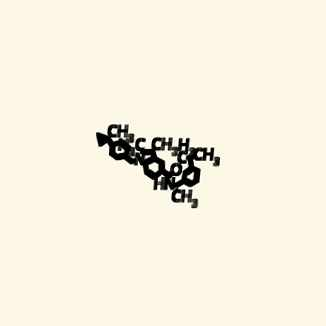 Cc1c(C)n(Cc2ccc(C3(C)CC3)cc2)c2ccc(C(=O)N[C@@H](C)c3cccc(C(C)C)c3)cc12